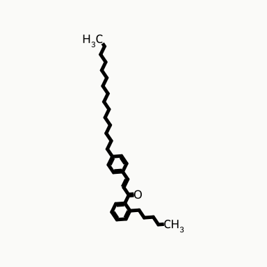 CCCCCCCCCCCCCCCc1ccc(C=CC(=O)c2ccccc2CCCCC)cc1